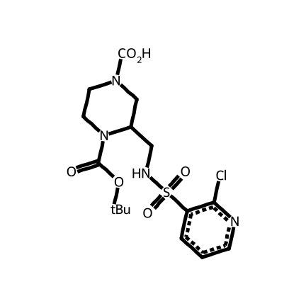 CC(C)(C)OC(=O)N1CCN(C(=O)O)CC1CNS(=O)(=O)c1cccnc1Cl